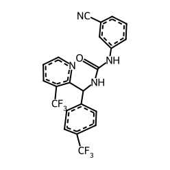 N#Cc1cccc(NC(=O)NC(c2ccc(C(F)(F)F)cc2)c2ncccc2C(F)(F)F)c1